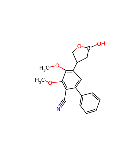 COc1c(C2COB(O)C2)cc(-c2ccccc2)c(C#N)c1OC